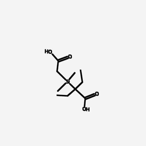 CCC(CC)(C(=O)O)[Si](C)(C)CC(=O)O